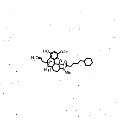 C=CCN1CC[C@]23c4c5c(O)cc(OC(C)=O)c4O[C@H]2[C@@H](N(CCCC)C(=O)CCCCC2CCCCC2)CC[C@H]3[C@H]1C5